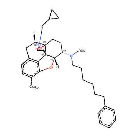 CCCCN(CCCCCCc1ccccc1)[C@H]1CC[C@@]2(O)[C@H]3Cc4ccc(OC(C)=O)c5c4[C@@]2(CCN3CC2CC2)[C@H]1O5